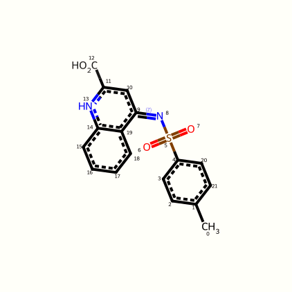 Cc1ccc(S(=O)(=O)/N=c2/cc(C(=O)O)[nH]c3ccccc23)cc1